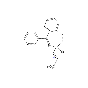 CCC1(/C=C/C(=O)O)CSc2ccccc2C(c2ccccc2)=N1